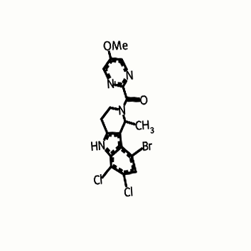 COc1cnc(C(=O)N2CCc3[nH]c4c(Cl)c(Cl)cc(Br)c4c3C2C)nc1